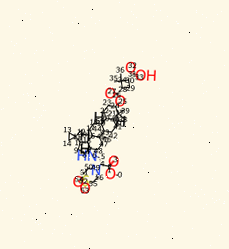 COC(=O)[C@@H](CN[C@]12CCC(C3(C)CC3)[C@@H]1[C@H]1CC[C@@H]3[C@@]4(C)CC[C@H](OC(=O)[C@H]5C[C@@H](C(=O)O)C5(C)C)C(C)(C)[C@@H]4CC[C@@]3(C)[C@]1(C)CC2)N1CCS(=O)(=O)CC1